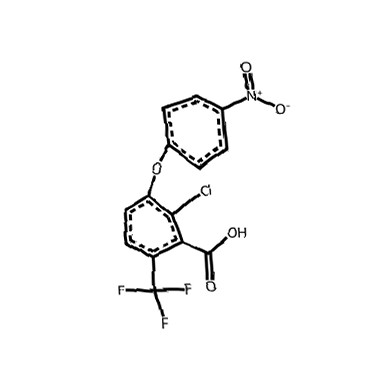 O=C(O)c1c(C(F)(F)F)ccc(Oc2ccc([N+](=O)[O-])cc2)c1Cl